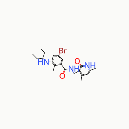 CCC(CC)Nc1cc(Br)cc(C(=O)NCc2c(C)cc(C)[nH]c2=O)c1C